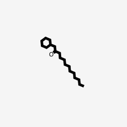 CCCCCCCCCCCC(=O)CC1CCCCC1